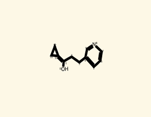 OC(CCc1cccnc1)=C1CC1